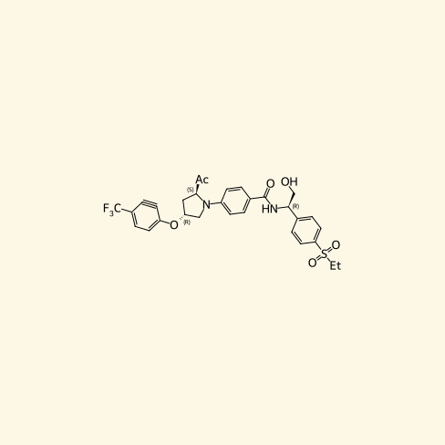 CCS(=O)(=O)c1ccc([C@H](CO)NC(=O)c2ccc(N3C[C@H](Oc4c#cc(C(F)(F)F)cc4)C[C@H]3C(C)=O)cc2)cc1